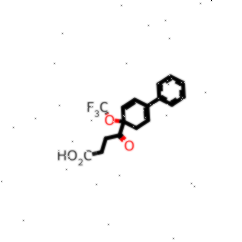 O=C(O)CCC(=O)C1(OC(F)(F)F)C=CC(c2ccccc2)=CC1